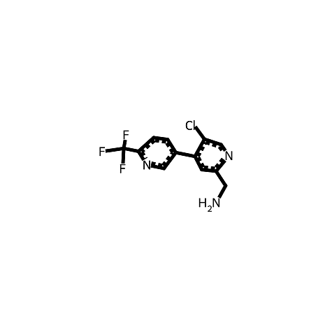 NCc1cc(-c2ccc(C(F)(F)F)nc2)c(Cl)cn1